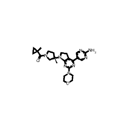 CC1(C(=O)N2CC[C@](C)(N3CCc4c(-c5cnc(N)nc5)nc(N5CCOCC5)nc43)C2)CC1